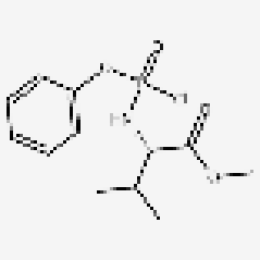 COC(=O)[C@@H](NP(=O)(Cl)Oc1ccccc1)C(C)C